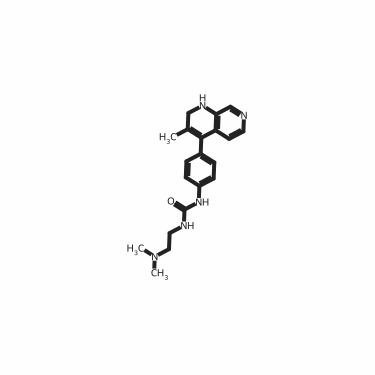 CC1=C(c2ccc(NC(=O)NCCN(C)C)cc2)c2ccncc2NC1